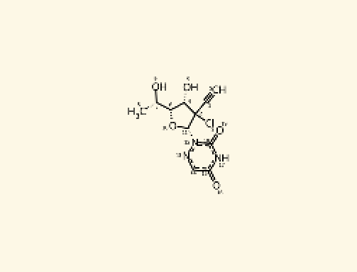 C#CC1(Cl)[C@@H](O)[C@@H]([C@H](C)O)O[C@H]1n1ncc(=O)[nH]c1=O